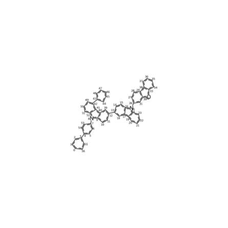 c1ccc(-c2ccc(-n3c4ccc(-c5ccc6c(c5)c5ccccc5n6-c5ccc6c(c5)oc5ccccc56)cc4c4c(-c5ccccc5)cccc43)cc2)cc1